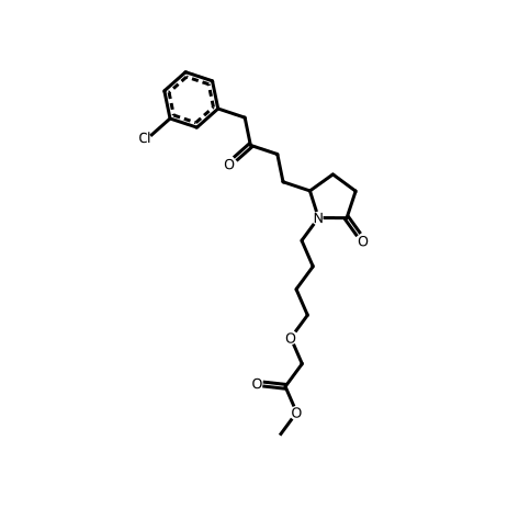 COC(=O)COCCCCN1C(=O)CCC1CCC(=O)Cc1cccc(Cl)c1